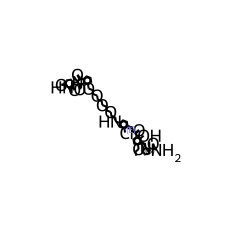 CCOc1ccc(C(=O)/C=C/c2ccc(NCCOCCOCCOCCOc3cccc4c3C(=O)N(C3CCC(=O)NC3=O)C4=O)cc2Cl)c(O)c1CN1CCC[C@H]1C(N)=O